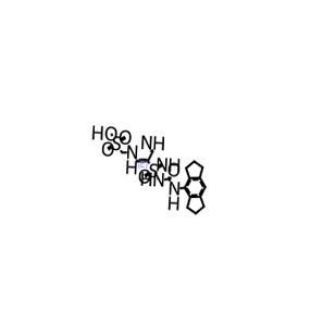 N=C/C(=C\NCS(=O)(=O)O)S(=N)(=O)NC(=O)Nc1c2c(cc3c1CCC3)CCC2